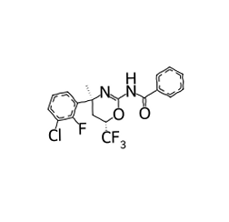 C[C@@]1(c2cccc(Cl)c2F)C[C@@H](C(F)(F)F)OC(NC(=O)c2ccccc2)=N1